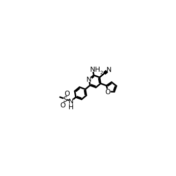 CS(=O)(=O)Nc1ccc(-c2cc(-c3ccco3)c(C#N)c(N)n2)cc1